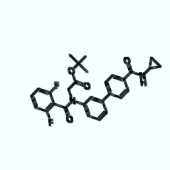 CC(C)(C)OC(=O)CN(C(=O)c1c(F)cccc1F)c1cccc(-c2ccc(C(=O)NC3CC3)cc2)c1